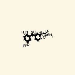 CC(C)Oc1ccc(N)c(C(=N)c2ccnc(NS(C)(=O)=O)c2)c1